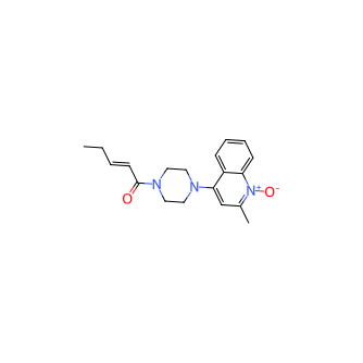 CCC=CC(=O)N1CCN(c2cc(C)[n+]([O-])c3ccccc23)CC1